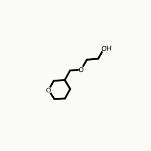 OCCOCC1CCCOC1